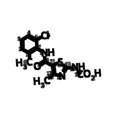 Cc1cccc(Cl)c1NC(=O)c1sc(NC(=O)O)nc1C